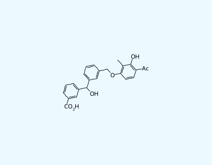 CC(=O)c1ccc(OCc2cccc(C(O)c3cccc(C(=O)O)c3)c2)c(C)c1O